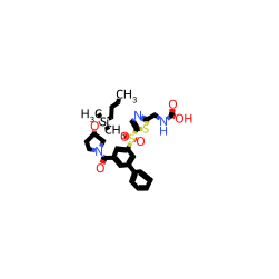 CCCC[Si](C)(C)OC1CCN(C(=O)c2cc(-c3ccccc3)cc(S(=O)(=O)c3cnc(CNC(=O)O)s3)c2)C1